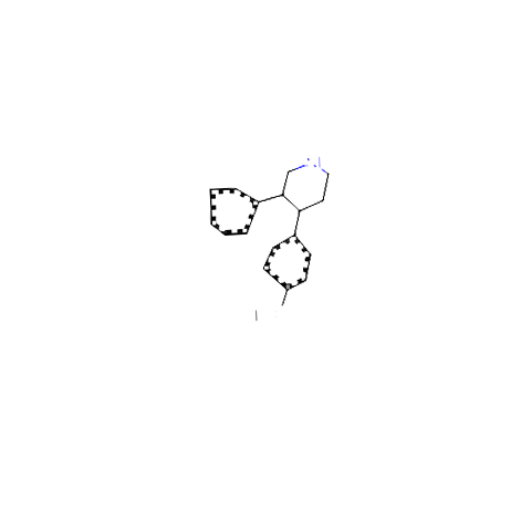 Cc1ccc(C2CCNCC2c2ccccc2)cc1